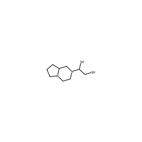 SCC(S)N1CCN2CCCC2C1